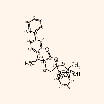 C[C@@H](c1ccc(-c2ccccn2)cc1)N1CCC(CC(C)(C)O)(c2ccccc2)OC1=O